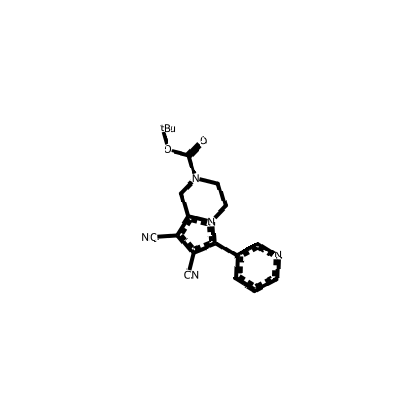 CC(C)(C)OC(=O)N1CCn2c(c(C#N)c(C#N)c2-c2cccnc2)C1